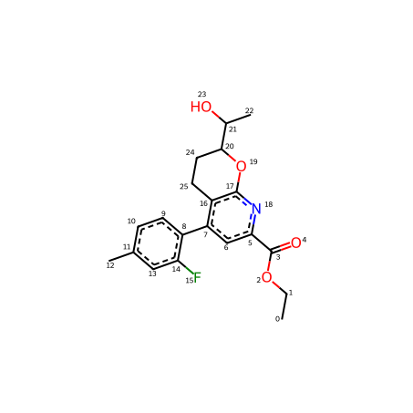 CCOC(=O)c1cc(-c2ccc(C)cc2F)c2c(n1)OC(C(C)O)CC2